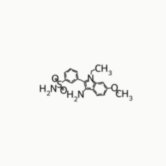 CCn1c(-c2cccc(S(N)(=O)=O)c2)c(N)c2ccc(OC)cc21